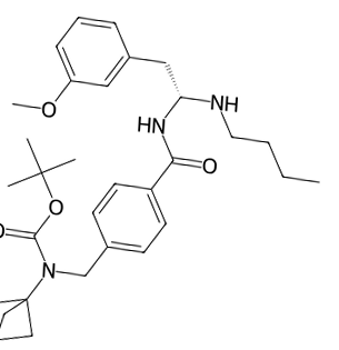 CCCCN[C@@H](Cc1cccc(OC)c1)NC(=O)c1ccc(CN(C(=O)OC(C)(C)C)C23CC(C2)C3)cc1